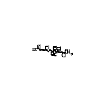 CCC(Cl)CCCC(Cl)CCC(Cl)C(Cl)C(Cl)C(Cl)CCC(C)Cl